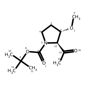 CO[C@H]1CCN(C(=O)OC(C)(C)C)[C@@H]1C(C)=O